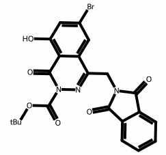 CC(C)(C)OC(=O)n1nc(CN2C(=O)c3ccccc3C2=O)c2cc(Br)cc(O)c2c1=O